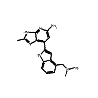 CCCN(C)Cc1cccc2[nH]c(-c3cc(N)nc4[nH]c(C)nc34)cc12